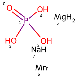 O=P(O)(O)O.[MgH2].[Mn].[NaH]